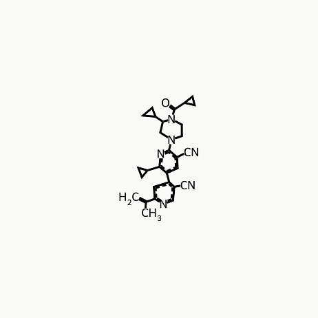 C=C(C)c1cc(-c2cc(C#N)c(N3CCN(C(=O)C4CC4)C(C4CC4)C3)nc2C2CC2)c(C#N)cn1